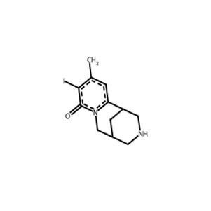 Cc1cc2n(c(=O)c1I)CC1CNCC2C1